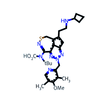 COc1c(C)cnc(Cn2nc3cc(CCNC4CCC4)c4c-3c(n2)C(N(C(=O)O)C(C)(C)C)=NSC4)c1C